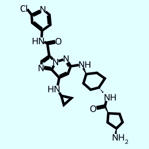 N[C@@H]1CC[C@H](C(=O)N[C@H]2CC[C@H](Nc3cc(NC4CC4)c4ncc(C(=O)Nc5ccnc(Cl)c5)n4n3)CC2)C1